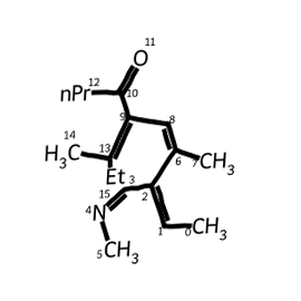 C/C=C(/C=N\C)C(\C)=C/C(C(=O)CCC)=C(/C)CC